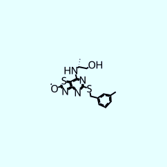 COc1nc2nc(SCc3cccc(C)c3)nc(N[C@H](C)CO)c2s1